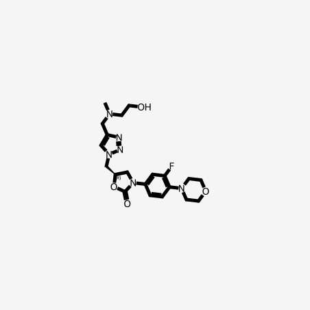 CN(CCO)Cc1cn(C[C@H]2CN(c3ccc(N4CCOCC4)c(F)c3)C(=O)O2)nn1